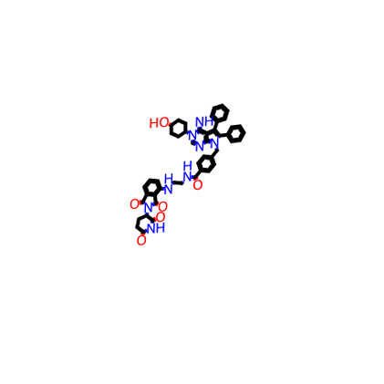 N=c1c2c(-c3ccccc3)c(-c3ccccc3)n(Cc3ccc(C(=O)NCCNc4cccc5c4C(=O)N(C4CCC(=O)NC4=O)C5=O)cc3)c2ncn1C1CCC(O)CC1